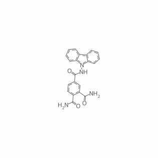 NC(=O)c1ccc(C(=O)Nn2c3ccccc3c3ccccc32)cc1C(N)=O